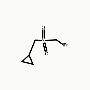 CC(C)CS(=O)(=O)CC1CC1